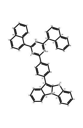 c1ccc2c(-c3nc(-c4ccc(-c5c6ccccc6n6c5sc5ccccc56)cc4)nc(-c4cccc5ccccc45)n3)cccc2c1